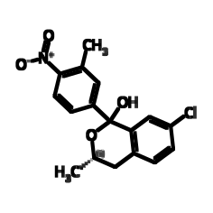 Cc1cc(C2(O)O[C@@H](C)Cc3ccc(Cl)cc32)ccc1[N+](=O)[O-]